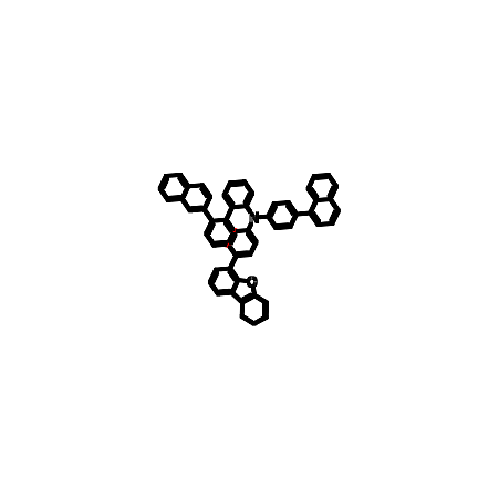 C1=Cc2oc3c(-c4ccc(N(c5ccc(-c6cccc7ccccc67)cc5)c5ccccc5-c5ccccc5-c5ccc6ccccc6c5)cc4)cccc3c2CC1